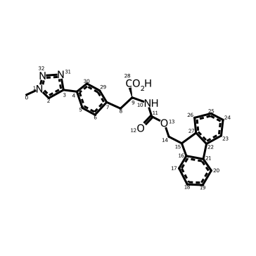 Cn1cc(-c2ccc(C[C@H](NC(=O)OCC3c4ccccc4-c4ccccc43)C(=O)O)cc2)nn1